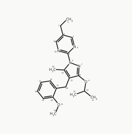 CCc1cnc(-n2nc(OC(C)C)c(Cc3ccccc3OC)c2C)nc1